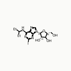 CCC(CC)Nc1nc(I)nc2c1ncn2[C@@H]1O[C@H](CO)C(O)[C@@H]1O